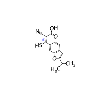 CC(C)c1cc2ccc(/C(S)=C(/C#N)C(=O)O)cc2o1